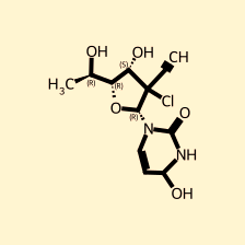 C#CC1(Cl)[C@@H](O)[C@@H]([C@@H](C)O)O[C@H]1N1C=CC(O)NC1=O